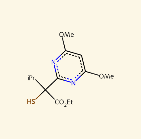 CCOC(=O)C(S)(c1nc(OC)cc(OC)n1)C(C)C